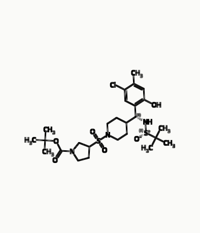 Cc1cc(O)c([C@H](N[S@@+]([O-])C(C)(C)C)C2CCN(S(=O)(=O)C3CCN(C(=O)OC(C)(C)C)C3)CC2)cc1Cl